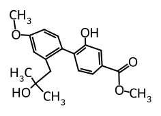 COC(=O)c1ccc(-c2ccc(OC)cc2CC(C)(C)O)c(O)c1